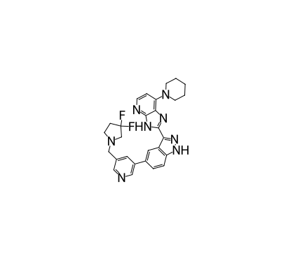 FC1(F)CCN(Cc2cncc(-c3ccc4[nH]nc(-c5nc6c(N7CCCCC7)ccnc6[nH]5)c4c3)c2)C1